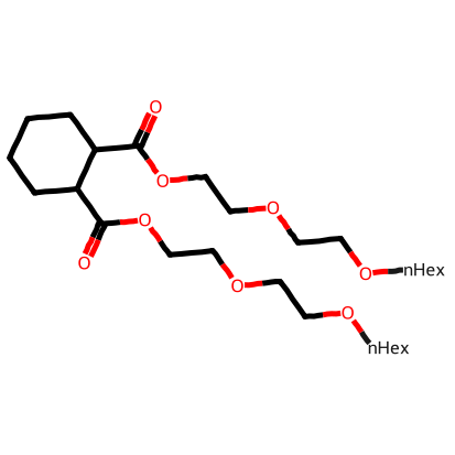 CCCCCCOCCOCCOC(=O)C1CCCCC1C(=O)OCCOCCOCCCCCC